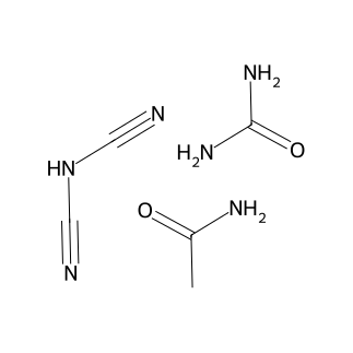 CC(N)=O.N#CNC#N.NC(N)=O